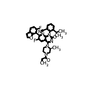 C=CC(=O)N1CCN(c2nc(=O)n(-c3c(C#N)cccc3C(C)C)c3nc(-c4c(F)ccc5ccoc45)c(F)cc23)[C@@H](C)C1